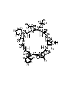 CC(C)C[C@H]1C(=O)N[C@H](C(=O)N2CCCCC2)CC(=O)N[C@H](C)C(=O)N(C)[C@@H](Cc2ccccc2)C(=O)N(C)[C@@H](CC(C)C)C(=O)N[C@@H]([C@@H](C)O)C(=O)N(C)[C@@H](C)C(=O)N[C@@H](COC(C)(C)C)C(=O)N1C